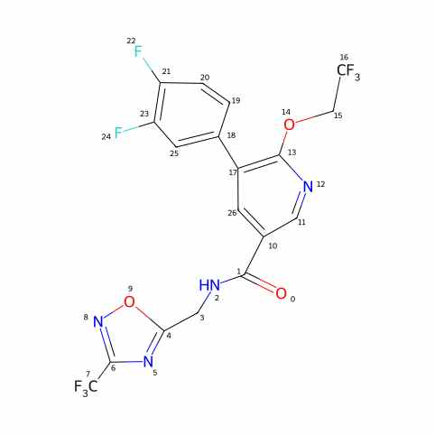 O=C(NCc1nc(C(F)(F)F)no1)c1cnc(OCC(F)(F)F)c(-c2ccc(F)c(F)c2)c1